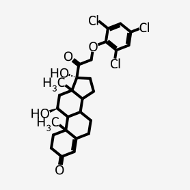 CC12CCC(=O)C=C1CCC1C2[C@@H](O)CC2(C)C1CC[C@]2(O)C(=O)COc1c(Cl)cc(Cl)cc1Cl